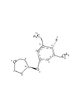 Cc1cc(O[C@H]2CCOC2)cc(C)c1Br